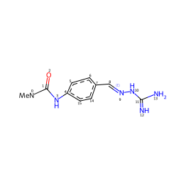 CNC(=O)Nc1ccc(/C=N/NC(=N)N)cc1